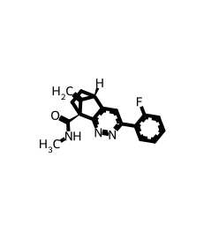 C=C1[C@@H]2CC[C@@]1(C(=O)NC)c1nnc(-c3ccccc3F)cc12